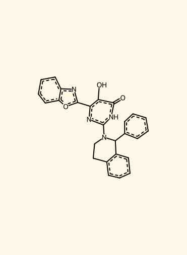 O=c1[nH]c(N2CCc3ccccc3C2c2ccccc2)nc(-c2nc3ccccc3o2)c1O